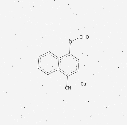 N#Cc1ccc(OC=O)c2ccccc12.[Cu]